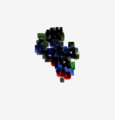 Cn1nc(NS(C)(=O)=O)c2c(Cl)ccc(-n3c([C@H](Cc4cc(F)cc(F)c4)NC(=O)Cn4nc(C(F)F)c5c4C(F)(F)[C@@H]4C[C@H]54)nc4nc(-c5cnn(CCF)c5)ccc4c3=O)c21